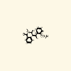 CC(CC(C)N(C)C(=O)c1ccccc1)c1ccccc1C(=O)O